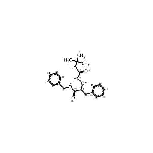 CC(C)(C)OC(=O)NOC(Cc1ccccc1)C(=O)OCc1ccccc1